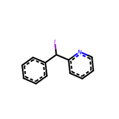 IC(c1ccccc1)c1ccccn1